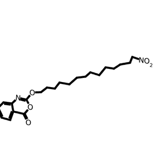 O=c1oc(OCCCCCCCCCCCCCC[N+](=O)[O-])nc2ccccc12